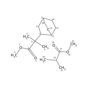 COC(=O)C(C)(C)C1CC2CCC1CC2.COC(=O)C(C)C